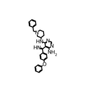 N=C(c1ccc(Oc2ccccc2)cc1)c1c(N)ncnc1NC1CCCN(Cc2ccccc2)C1